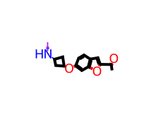 CC(=O)c1cc2ccc(O[C@H]3C[C@@H](NI)C3)cc2o1